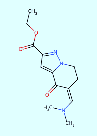 CCOC(=O)c1cc2n(n1)CCC(=CN(C)C)C2=O